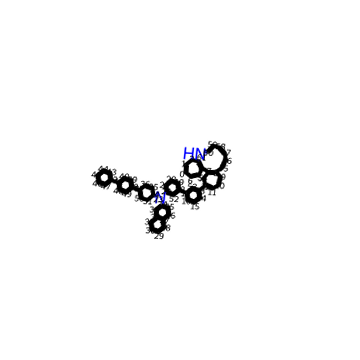 C1=CCC2=C(C=C1)C1=C(C=CC=C(c3cccc(-c4cccc(N(c5ccc6ccccc6c5)C5C=CC(c6ccc(-c7ccccc7)cc6)=CC5)c4)c3)C1)\C=C/C=C\C=C\N2